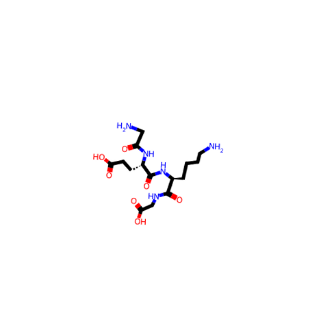 NCCCC[C@H](NC(=O)[C@H](CCC(=O)O)NC(=O)CN)C(=O)NCC(=O)O